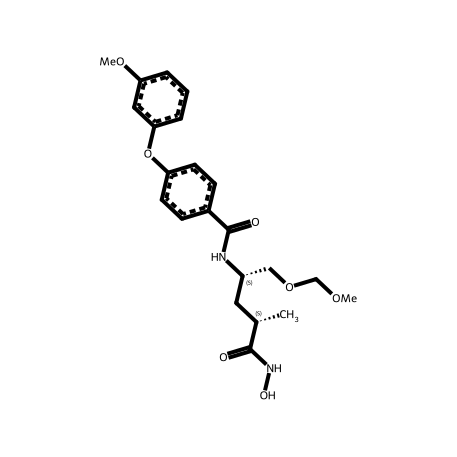 COCOC[C@H](C[C@H](C)C(=O)NO)NC(=O)c1ccc(Oc2cccc(OC)c2)cc1